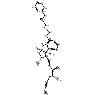 CC#CC[C@H](C)[C@H](O)/C=C/[C@@H]1[C@H]2c3cccc(CCCCNCc4ccccc4)c3O[C@H]2C[C@H]1O